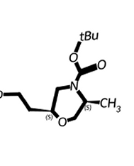 C[C@H]1CO[C@@H](CCO)CN1C(=O)OC(C)(C)C